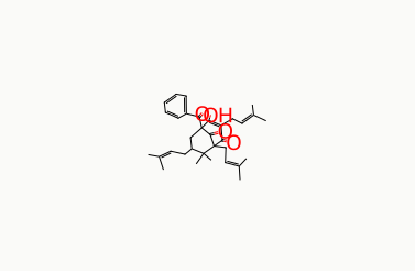 CC(C)=CCC1=C(O)C2(C(=O)c3ccccc3)CC(CC=C(C)C)C(C)(C)C(CC=C(C)C)(C1=O)C2=O